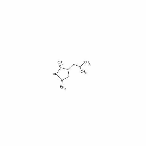 C=C1CC(CC(C)C)C(=C)N1